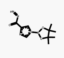 CC1(C)OB(n2cnc(C(=O)N=N)c2)OC1(C)C